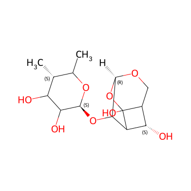 CC1O[C@@H](OC2C3[C@@H](O)C4CO[C@@H]2OC43O)C(O)C(O)[C@@H]1C